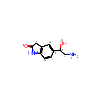 NCC(O)c1ccc2c(c1)CC(=O)N2